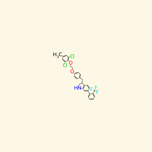 Cc1cc(Cl)c(OCCOc2ccc(CC3CNc4cc(-c5ccccc5C(F)(F)F)ccc43)cc2)c(Cl)c1